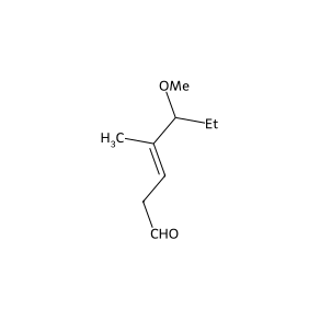 CCC(OC)C(C)=CCC=O